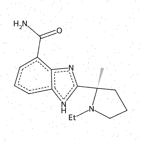 CCN1CCC[C@]1(C)c1nc2c(C(N)=O)cccc2[nH]1